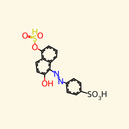 O=[SH](=O)Oc1cccc2c(N=Nc3ccc(S(=O)(=O)O)cc3)c(O)ccc12